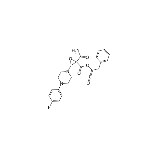 NC(=O)C1(C(=O)OC(=C=O)Cc2ccccc2)OC1N1CCN(c2ccc(F)cc2)CC1